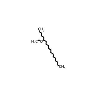 CCCCCCCCCCCCCC(CCCCC)OCC